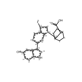 O=C(O)C1C2CCC(CC2)C1n1cc(F)c2cnc(-c3n[nH]c4ncc(Cl)cc34)nc21